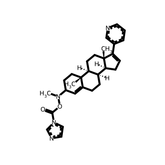 CN(OC(=O)n1ccnc1)C1C=C2CC[C@H]3[C@H](CC[C@]4(C)C(c5cccnc5)=CC[C@@H]34)[C@@]2(C)CC1